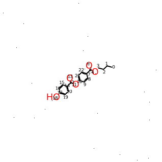 CCCCOC(=O)c1ccc(OC(=O)c2ccc(O)cc2)cc1